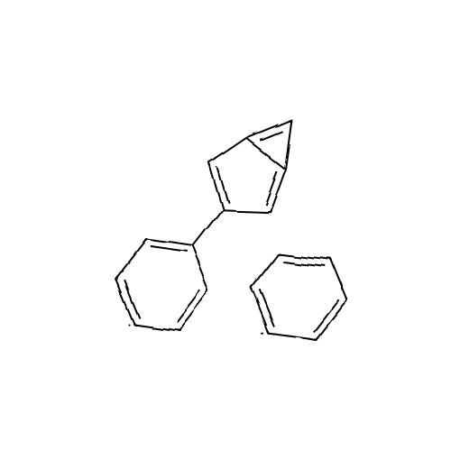 [c]1ccc(-c2cc3cc-3c2)cc1.[c]1ccccc1